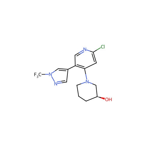 O[C@H]1CCCN(c2cc(Cl)ncc2-c2cnn(C(F)(F)F)c2)C1